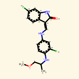 COCC(C)Nc1ccc(N/C=C2/C(=O)Nc3cc(F)ccc32)cc1F